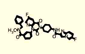 CN(Cc1ccccc1)C(=O)c1cccc(-n2c(=O)n(C3CCC(NC(=O)c4cn5cc(F)ccc5n4)CC3)c(=O)c3cc(F)cnc32)c1